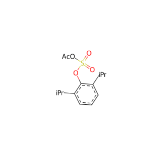 CC(=O)OS(=O)(=O)Oc1c(C(C)C)cccc1C(C)C